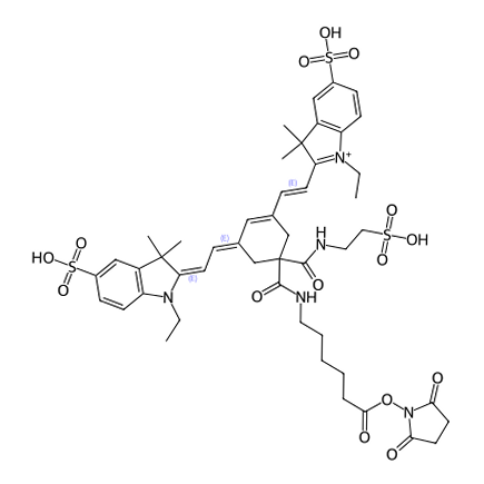 CCN1/C(=C/C=C2C=C(/C=C/C3=[N+](CC)c4ccc(S(=O)(=O)O)cc4C3(C)C)CC(C(=O)NCCCCCC(=O)ON3C(=O)CCC3=O)(C(=O)NCCS(=O)(=O)O)C/2)C(C)(C)c2cc(S(=O)(=O)O)ccc21